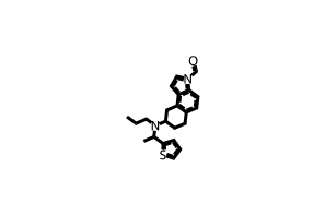 CCCN(C1CCc2ccc3c(ccn3C=O)c2C1)C(C)c1cccs1